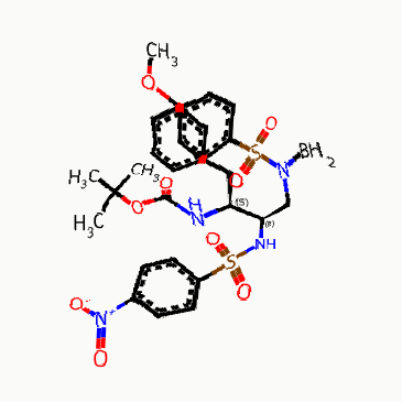 BN(C[C@@H](NS(=O)(=O)c1ccc([N+](=O)[O-])cc1)[C@H](Cc1ccccc1)NC(=O)OC(C)(C)C)S(=O)(=O)c1ccc(OC)cc1